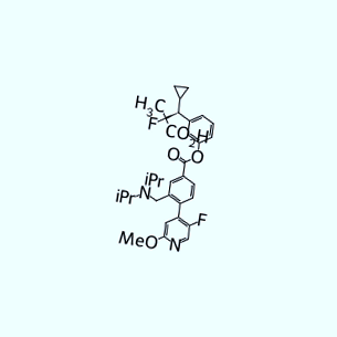 COc1cc(-c2ccc(C(=O)Oc3cccc([C@H](C4CC4)C(C)(F)C(=O)O)c3)cc2CN(C(C)C)C(C)C)c(F)cn1